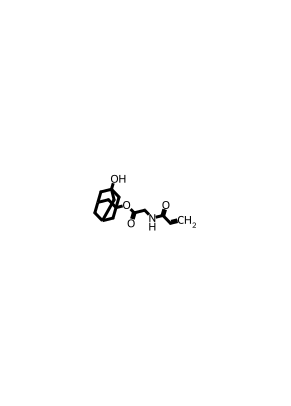 C=CC(=O)NCC(=O)OC12CC3CC(CC(O)(C3)C1)C2